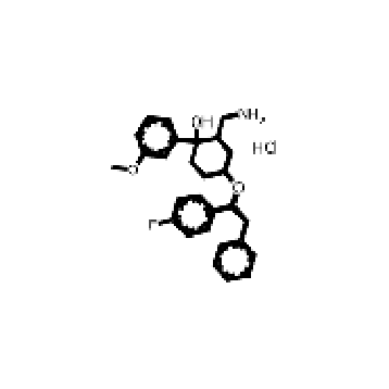 COc1cccc(C2(O)CCC(OC(Cc3ccccc3)c3ccc(F)cc3)CC2CN)c1.Cl